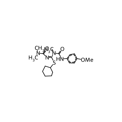 COc1ccc(NC(=O)N(C)C(=NC(=O)N(C)C)SC2CCCCC2)cc1